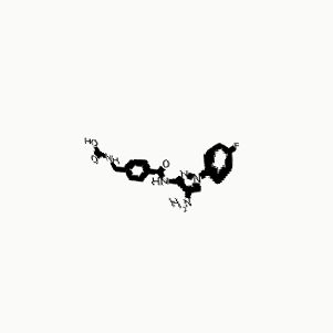 Nc1cn(-c2ccc(F)cc2)nc1NC(=O)c1ccc(CNC(=O)O)cc1